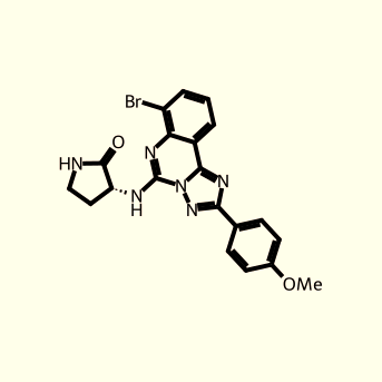 COc1ccc(-c2nc3c4cccc(Br)c4nc(N[C@@H]4CCNC4=O)n3n2)cc1